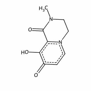 CN1CCn2ccc(=O)c(O)c2C1=O